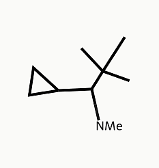 CNC(C1CC1)C(C)(C)C